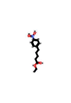 CCOC(=O)CCCCc1ccc([N+](=O)[O-])cc1